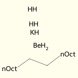 CCCCCCCCCCCCCCCCCC.[BeH2].[HH].[HH].[KH]